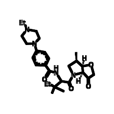 CCN1CCN(c2ccc(C(=O)NC(C(=O)N3C[C@@H](C)[C@H]4OCC(=O)[C@H]43)C(C)(C)CC)cc2)CC1